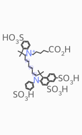 CC1(C)C(/C=C/C=C/C=C2/N(c3cccc(S(=O)(=O)O)c3)c3cc(S(=O)(=O)O)c4cc(S(=O)(=O)O)ccc4c3C2(C)C)=[N+](CCCCCC(=O)O)c2ccc(S(=O)(=O)O)cc21